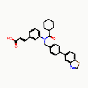 O=C(O)C=Cc1cccc(N(Cc2ccc(-c3ccc4scnc4c3)cc2)C(=O)C2CCCCC2)c1